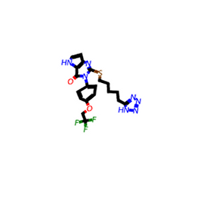 O=c1c2[nH]ccc2nc(SCCCCCc2nnn[nH]2)n1-c1ccc(OCC(F)(F)F)cc1